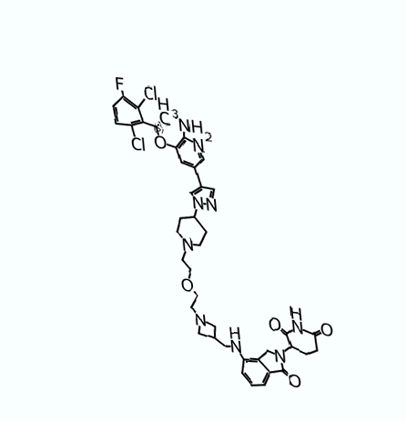 C[C@H](Oc1cc(-c2cnn(C3CCN(CCOCCN4CC(CNc5cccc6c5CN(C5CCC(=O)NC5=O)C6=O)C4)CC3)c2)cnc1N)c1c(Cl)ccc(F)c1Cl